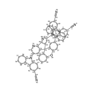 N#Cc1ccc2c(c1)c1ccccc1n2-c1ccc2c(c1)C1(c3ccccc3O2)c2cc(-n3c4ccccc4c4cc(C#N)ccc43)cnc2-c2ncc(-n3c4ccccc4c4cc(C#N)ccc43)cc21